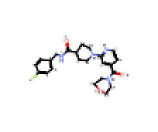 O=C(NCc1ccc(F)cc1)C1CCN(c2cc(C(=O)N3CCOCC3)ccn2)CC1